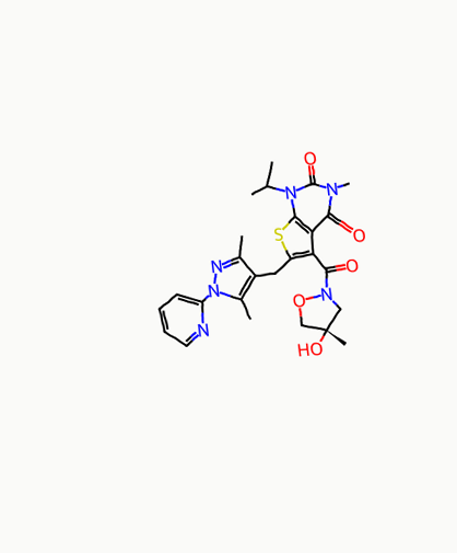 Cc1nn(-c2ccccn2)c(C)c1Cc1sc2c(c1C(=O)N1C[C@](C)(O)CO1)c(=O)n(C)c(=O)n2C(C)C